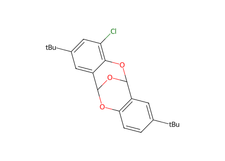 CC(C)(C)c1ccc2c(c1)C1Oc3c(Cl)cc(C(C)(C)C)cc3C(O2)O1